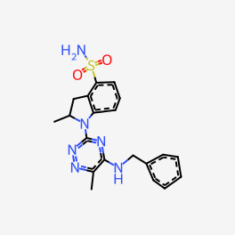 Cc1nnc(N2c3cccc(S(N)(=O)=O)c3CC2C)nc1NCc1ccccc1